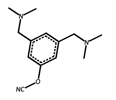 CN(C)Cc1cc(CN(C)C)cc(OC#N)c1